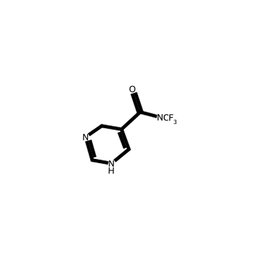 O=C(NC(F)(F)F)C1=CNC=NC1